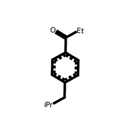 CCC(=O)c1ccc(CC(C)C)cc1